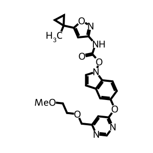 COCCOCc1cc(Oc2ccc3c(ccn3OC(=O)Nc3cc(C4(C)CC4)on3)c2)ncn1